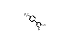 CCc1[c]c(-c2ccc(C(F)(F)F)cc2)n[nH]1